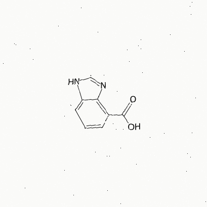 O=C(O)c1cccc2[nH][c]nc12